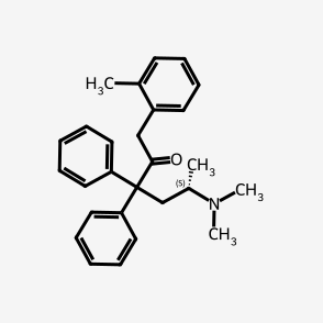 Cc1ccccc1CC(=O)C(C[C@H](C)N(C)C)(c1ccccc1)c1ccccc1